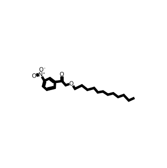 CCCCCCCCCCCCOCC(=O)c1cccc([N+](=O)[O-])c1